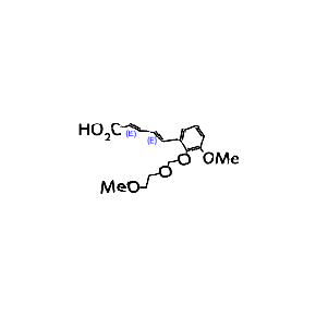 COCCOCOc1c(/C=C/C=C/C(=O)O)cccc1OC